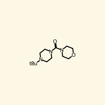 CC(C)(C)N1CCN(C(=O)N2CCOCC2)CC1